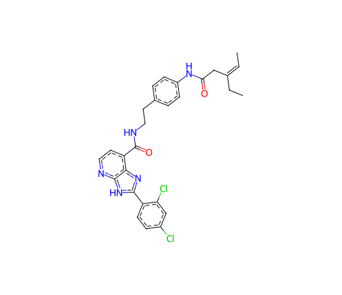 C/C=C(/CC)CC(=O)Nc1ccc(CCNC(=O)c2ccnc3[nH]c(-c4ccc(Cl)cc4Cl)nc23)cc1